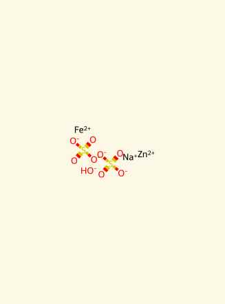 O=S(=O)([O-])[O-].O=S(=O)([O-])[O-].[Fe+2].[Na+].[OH-].[Zn+2]